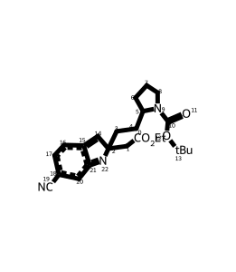 CCOC(=O)CC1(CCC2CCCN2C(=O)OC(C)(C)C)C=c2ccc(C#N)cc2=N1